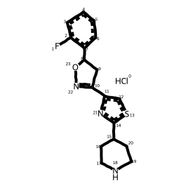 Cl.Fc1ccccc1C1CC(c2csc(C3CCNCC3)n2)=NO1